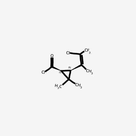 CC(=C(Cl)C(F)(F)F)[C@@H]1[C@H](C(=O)Cl)C1(C)C